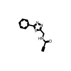 C#CC(=O)NCc1nnc(-c2ccccc2)s1